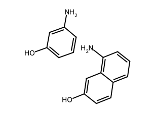 Nc1cccc(O)c1.Nc1cccc2ccc(O)cc12